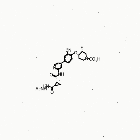 CC(=O)NNC(=O)[C@@H]1C[C@H]1C(=O)Nc1cc(-c2ccc(O[C@H]3CCN(C(=O)O)C[C@H]3F)c(C#N)c2)ccn1